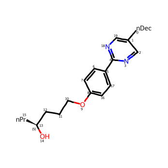 CCCCCCCCCCc1cnc(-c2ccc(OCCC[C@@H](O)CCC)cc2)nc1